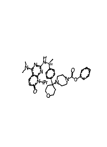 CC(C)n1c(=O)ccc2c(N(C)C)nc(N[C@@H](C)c3ccc(C4(N5CCN(C(=O)Oc6ccccc6)CC5)CCOCC4)cc3)nc21